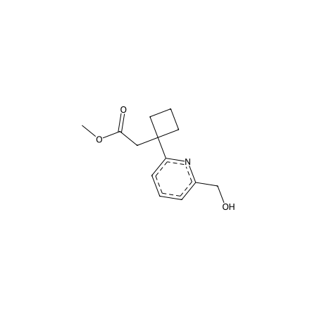 COC(=O)CC1(c2cccc(CO)n2)CCC1